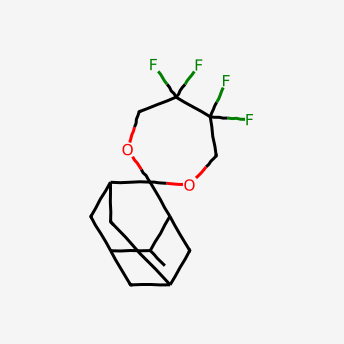 CC1C2CC3CC(C2)C2(OCC(F)(F)C(F)(F)CO2)C1C3